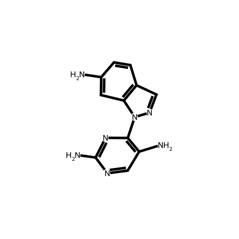 Nc1ccc2cnn(-c3nc(N)ncc3N)c2c1